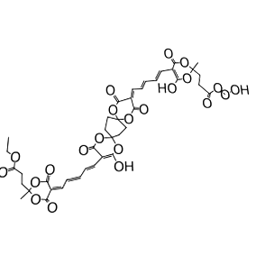 CCOC(=O)CCC1(C)OC(=O)C(=C/C=C/C=C/C2=C(O)OC3(CCC4(CC3)OC(=O)C(=C/C=C/C=C/C3=C(O)OC(C)(CCC(=O)OOO)OC3=O)C(=O)O4)OC2=O)C(=O)O1